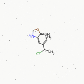 C=C1SCN/C1=C/C(=C\C)C(C)Cl